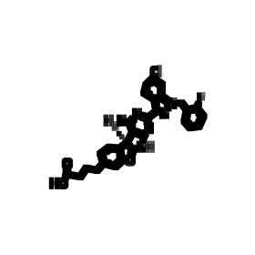 C[C@@]1(c2ccc(CCCC(=O)O)cc2)C(=O)Nc2nc(-c3nn(Cc4ccccc4F)c4cc(Cl)ccc34)nc(N)c21